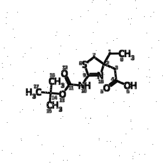 CCC1(CC(=O)O)CSC(NC(=O)OC(C)(C)C)=N1